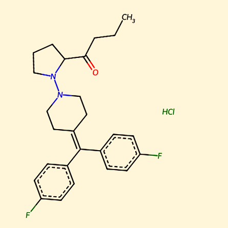 CCCC(=O)C1CCCN1N1CCC(=C(c2ccc(F)cc2)c2ccc(F)cc2)CC1.Cl